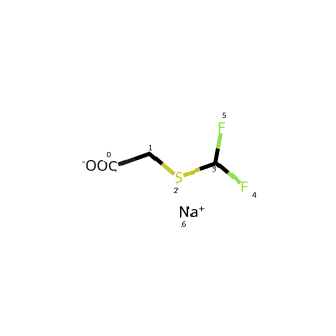 O=C([O-])CSC(F)F.[Na+]